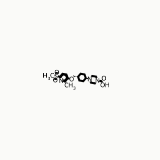 Cc1nc(S(C)(=O)=O)ccc1OC[C@H]1CC[C@H](N2CCN(C(=O)O)CC2)CC1